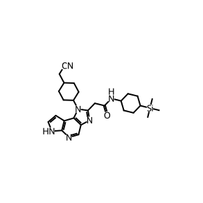 C[Si](C)(C)C1CCC(NC(=O)Cc2nc3cnc4[nH]ccc4c3n2C2CCC(CC#N)CC2)CC1